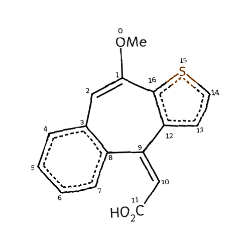 COC1=Cc2ccccc2C(=CC(=O)O)c2ccsc21